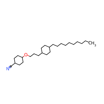 CCCCCCCCCCC1CCC(CCCOC2CCC(C#N)CC2)CC1